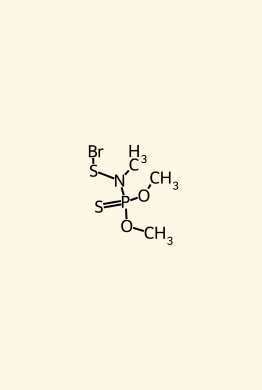 COP(=S)(OC)N(C)SBr